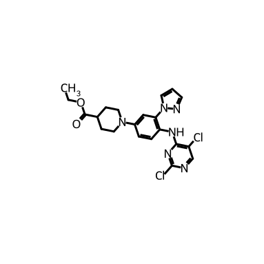 CCOC(=O)C1CCN(c2ccc(Nc3nc(Cl)ncc3Cl)c(-n3cccn3)c2)CC1